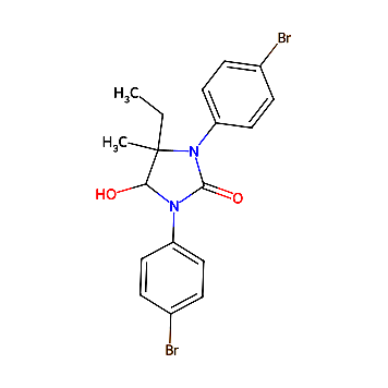 CCC1(C)C(O)N(c2ccc(Br)cc2)C(=O)N1c1ccc(Br)cc1